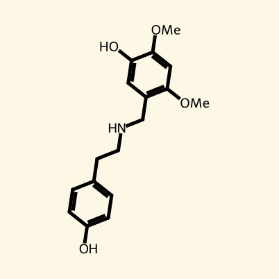 COc1cc(OC)c(CNCCc2ccc(O)cc2)cc1O